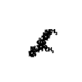 COc1cc(Cn2cnc3cccnc32)cc2c1OC(c1ccc(C(C)(F)F)nc1)CO2